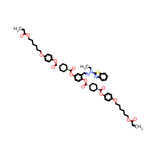 C=CC(=O)OCCCCCCOc1ccc(OC(=O)[C@H]2CC[C@H](C(=O)Oc3ccc(OC(=O)[C@H]4CC[C@H](C(=O)Oc5ccc(OCCCCCCOC(=O)C=C)cc5)CC4)c(/C=N/N(CC)c4nc5ccccc5s4)c3)CC2)cc1